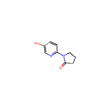 O=C1CCCN1c1ccc(O)cn1